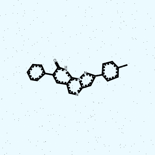 Cc1ccc(-c2cc3ncc4cc(-c5ccccc5)c(=O)[nH]c4n3n2)cc1